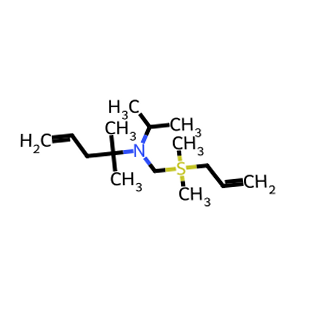 C=CCC(C)(C)N(CS(C)(C)CC=C)C(C)C